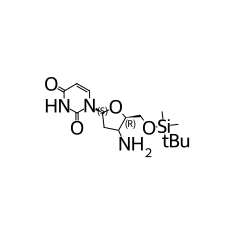 CC(C)(C)[Si](C)(C)OC[C@@H]1O[C@H](n2ccc(=O)[nH]c2=O)CC1N